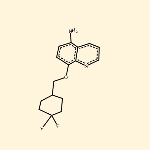 Nc1ccc(OCC2CCC(F)(F)CC2)c2ncccc12